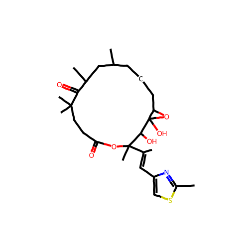 CC(=Cc1csc(C)n1)C1(C)OC(=O)CCC(C)(C)C(=O)C(C)CC(C)CCCC2OC2(O)C1O